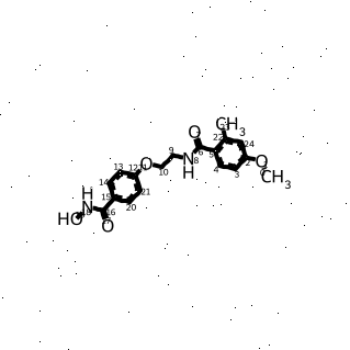 COc1ccc(C(=O)NCCOc2ccc(C(=O)NO)cc2)c(C)c1